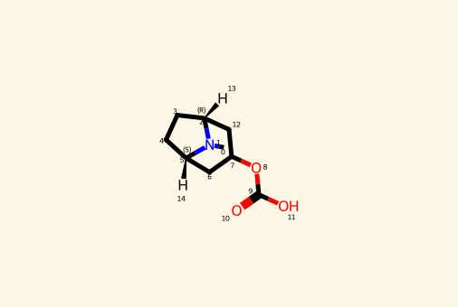 CN1[C@@H]2CC[C@H]1CC(OC(=O)O)C2